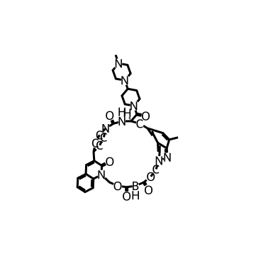 Cc1cc2cc3cn(nc13)COC(=O)BC(=O)OCn1c(=O)c(cc3ccccc31)C1CCN(CC1)C(=O)N[C@@H](C(=O)N1CCC(N3CCN(C)CC3)CC1)C2